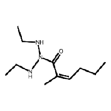 CCCC=C(C)C(=O)N(NCC)NCC